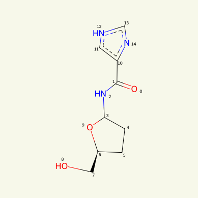 O=C(NC1CC[C@@H](CO)O1)c1c[nH]cn1